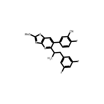 CSc1nc2nc(C(C)Cc3cc(F)cc(F)c3)c(-c3ccc(F)c(C#N)c3)cc2s1